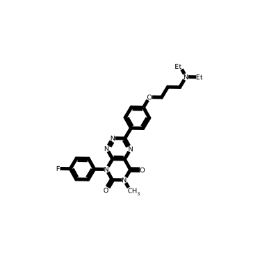 CCN(CC)CCCOc1ccc(-c2nnc3c(n2)c(=O)n(C)c(=O)n3-c2ccc(F)cc2)cc1